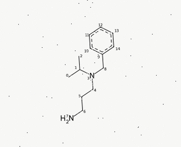 CC(C)N(CCCN)Cc1ccccc1